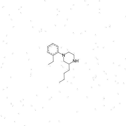 CCCCC1CN(c2ccccc2CC)CCN1